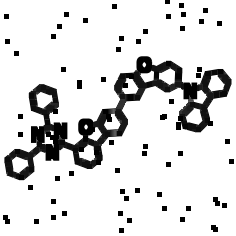 c1ccc(-c2nc(-c3ccccc3)nc(-c3cccc4c3oc3cc(-c5ccc6oc7ccc(-n8c9ccccc9c9ccccc98)cc7c6c5)ccc34)n2)cc1